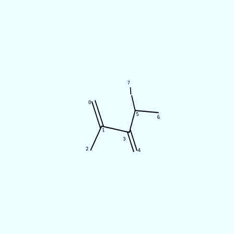 C=C(C)C(=C)C(C)I